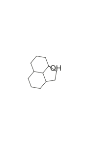 OC12CCCC3CCCC(CC1)C32